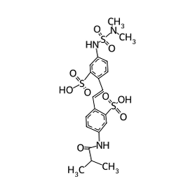 CC(C)C(=O)Nc1ccc(C=Cc2ccc(NS(=O)(=O)N(C)C)cc2S(=O)(=O)O)c(S(=O)(=O)O)c1